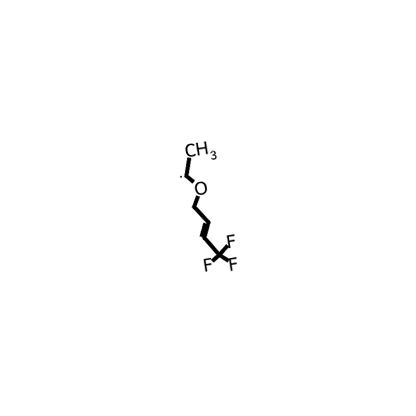 C[CH]OC/C=C/C(F)(F)F